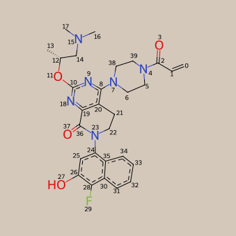 C=CC(=O)N1CCN(c2nc(O[C@H](C)CN(C)C)nc3c2CCN(c2cc(O)c(F)c4ccccc24)C3=O)CC1